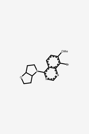 COc1ccc2c(N3CCC4OCCC43)ncnc2c1Br